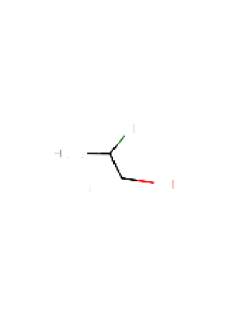 Cl.O=C(O)C(Cl)CO